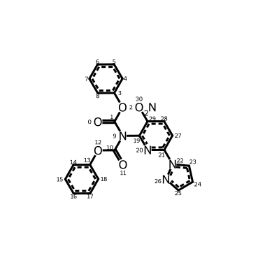 O=C(Oc1ccccc1)N(C(=O)Oc1ccccc1)c1nc(-n2cccn2)ccc1[N+](=O)[O-]